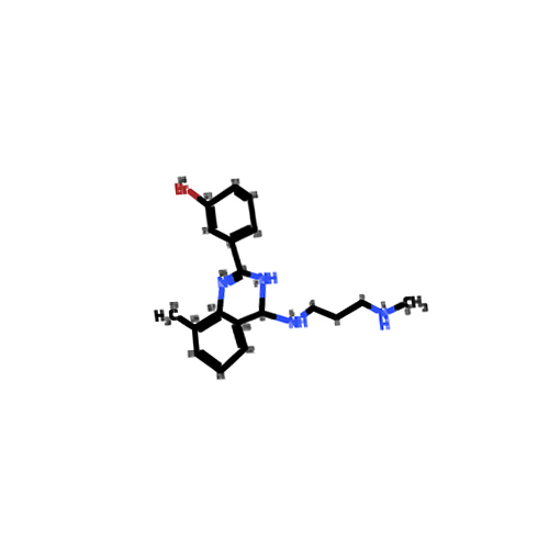 CNCCCNC1NC(c2cccc(Br)c2)=Nc2c(C)cccc21